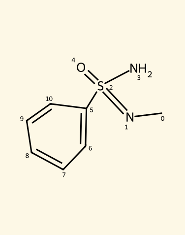 CN=S(N)(=O)c1ccccc1